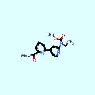 COC(=O)c1cccc(-c2ccnc(N(CC(F)(F)F)C(=O)OC(C)(C)C)c2)n1